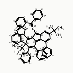 CC(C)(C)c1cc(-c2ccccc2)c2c(c1)=[C]([Zr]=[C](c1ccccc1)c1ccccc1)C1=C(C3=CC=CC3)C(c3ccccc3)(C(C)(C)C)C(c3ccccc3)=C(c3ccccc3)C=21